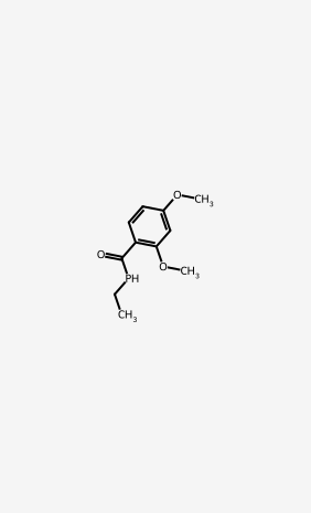 CCPC(=O)c1ccc(OC)cc1OC